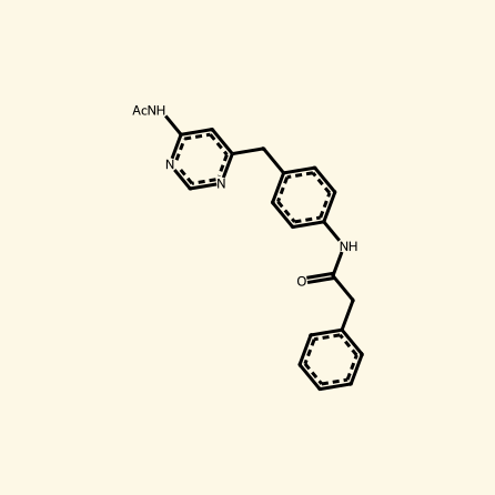 CC(=O)Nc1cc(Cc2ccc(NC(=O)Cc3ccccc3)cc2)ncn1